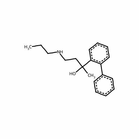 CCCNCCC(C)(O)c1ccccc1-c1ccccc1